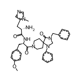 COc1ccc(C[C@@H](NC(=O)[C@@H](N)Cc2cncn2C)C(=O)N2CCC3(CC2)C(=O)N(Cc2ccccc2)CN3c2ccccc2)cc1